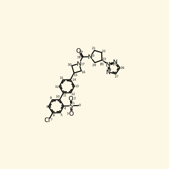 CS(=O)(=O)c1cc(Cl)ccc1-c1ccc(C2CN(C(=O)N3CC[C@@H](n4nccn4)C3)C2)cc1